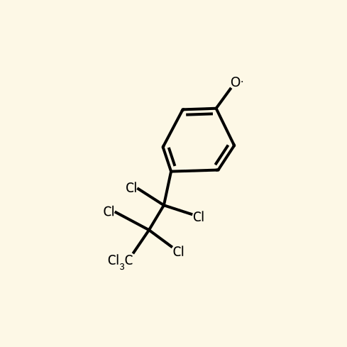 [O]c1ccc(C(Cl)(Cl)C(Cl)(Cl)C(Cl)(Cl)Cl)cc1